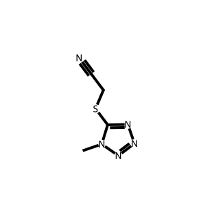 Cn1nnnc1SCC#N